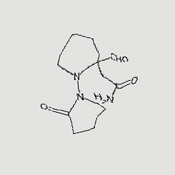 NC(=O)C1(C=O)CCCN1N1CCCC1=O